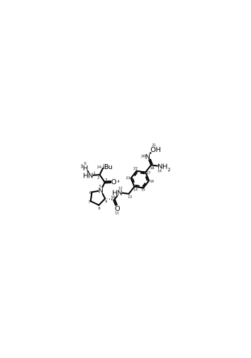 [3H]NC(C(=O)N1CCC[C@H]1C(=O)NCc1ccc(/C(N)=N/O)cc1)C(C)CC